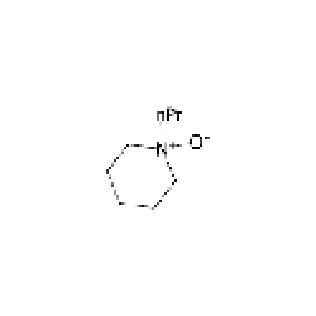 CCC[N+]1([O-])CCCCC1